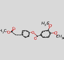 COC(=O)Cc1ccc(OC(=O)c2ccc(OC)c(OC)c2)cc1